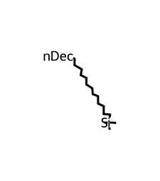 [CH2]CCCCCCCCCCCCCCCCCCCCCC[Si](C)(C)C